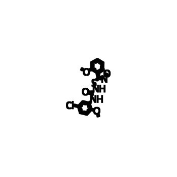 COc1ccc(Cl)cc1NC(=O)NSc1noc2cccc(OC)c12